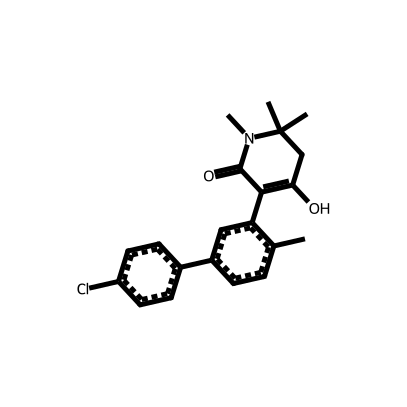 Cc1ccc(-c2ccc(Cl)cc2)cc1C1=C(O)CC(C)(C)N(C)C1=O